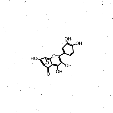 O=c1c2oc(c2O)c2oc(-c3ccc(O)c(O)c3)c(O)c(O)c12